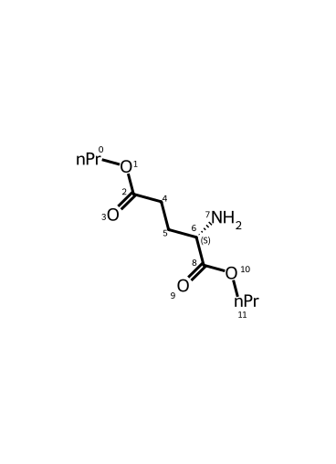 CCCOC(=O)CC[C@H](N)C(=O)OCCC